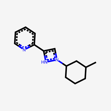 CC1CCCC(n2cc(-c3ccccn3)[nH]2)C1